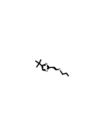 CCCSC=Cc1nc(C(C)(C)C)co1